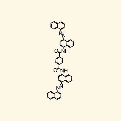 O=C(Nc1ccc(/N=N/c2cccc3ccccc23)c2ccccc12)c1ccc(C(=O)Nc2ccc(/N=N/c3cccc4ccccc34)c3ccccc23)cc1